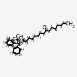 C=CCCCCCC(=O)CCCCCCCCO[Si](c1ccccc1)(c1ccccc1)C(C)(C)C